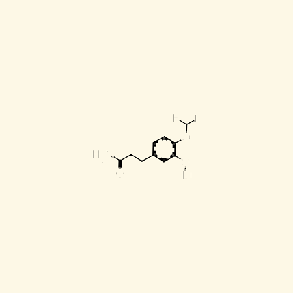 CCOc1cc(CCC(N)=O)ccc1OC(F)F